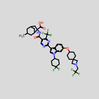 CC1CC2CC(C1)C(NC(=O)c1cnc(-c3cn(C4CCC(F)(F)CC4)c4cc(OC5CCC6(CC5)CN(CC(F)(F)F)C6)ccc34)nc1C(F)(F)F)(C(=O)O)C2